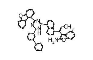 C/C=C(\c1c(N)oc2ccccc12)c1cccc2c(C3=NC(c4cccc5oc6ccccc6c45)=NC(c4cccc(-c5ccccc5)c4)N3)cccc12